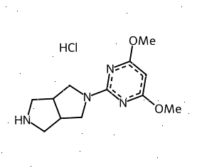 COc1cc(OC)nc(N2CC3CNCC3C2)n1.Cl